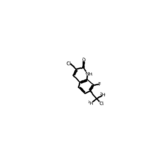 [2H]C([2H])(Cl)c1ccc2cc(Cl)c(=O)[nH]c2c1F